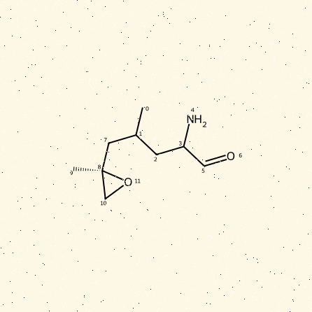 CC(CC(N)C=O)C[C@]1(C)CO1